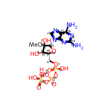 CO[C@@]1(O)[C@H](O)[C@@H](COP(=O)(O)OP(=O)(O)OP(=O)(O)O)O[C@H]1n1cnc2c(N)nc(N)nc21